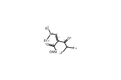 CCN(/C=C(\C(=O)OC)C(=O)C(F)F)CC